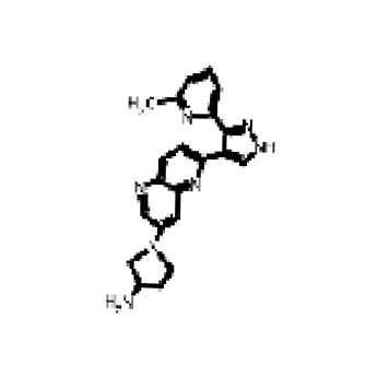 Cc1cccc(-c2n[nH]cc2-c2ccc3ncc(N4CCC(N)C4)cc3n2)n1